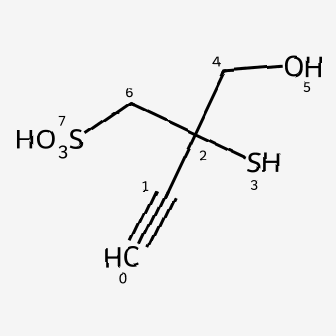 C#CC(S)(CO)CS(=O)(=O)O